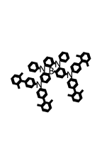 Cc1cccc(C)c1-c1ccc(N(c2ccc(-c3c(C)cccc3C)cc2)c2ccc3c(c2)N(c2ccccc2)c2cccc4c2B3c2ccc(N(c3ccc(-c5c(C)cccc5C)cc3)c3ccc(-c5c(C)cccc5C)cc3)cc2N4c2ccccc2)cc1